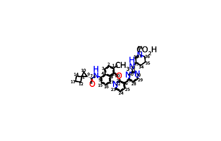 Cc1ccc2c(NC(=O)[C@H]3CC34CCC4)cccc2c1Oc1ncccc1-c1ccnc(NC2CCCN(C(=O)O)C2)n1